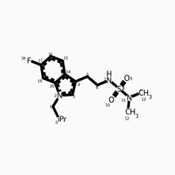 CC(C)Cn1cc(CCNS(=O)(=O)N(C)C)c2ccc(F)cc21